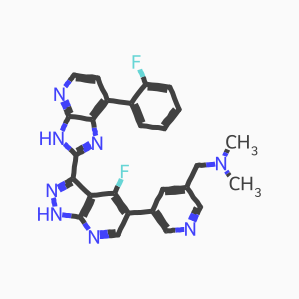 CN(C)Cc1cncc(-c2cnc3[nH]nc(-c4nc5c(-c6ccccc6F)ccnc5[nH]4)c3c2F)c1